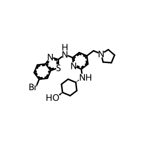 O[C@H]1CC[C@H](Nc2cc(CN3CCCC3)cc(Nc3nc4ccc(Br)cc4s3)n2)CC1